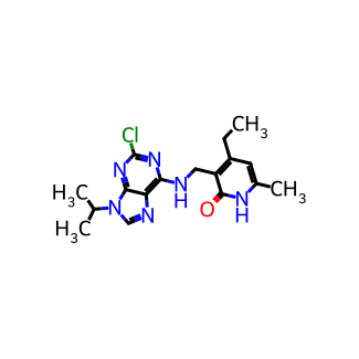 CCc1cc(C)[nH]c(=O)c1CNc1nc(Cl)nc2c1ncn2C(C)C